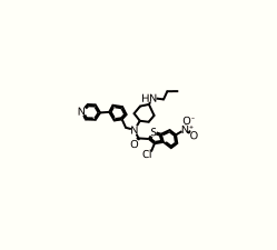 CCCNC1CCC(N(Cc2cccc(-c3ccncc3)c2)C(=O)c2sc3cc([N+](=O)[O-])ccc3c2Cl)CC1